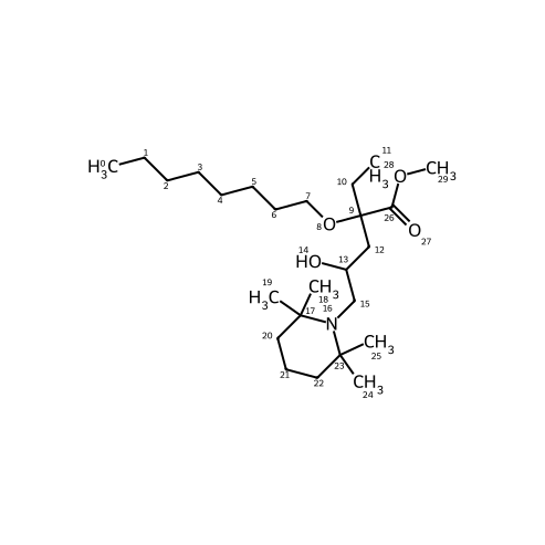 CCCCCCCCOC(CC)(CC(O)CN1C(C)(C)CCCC1(C)C)C(=O)OC